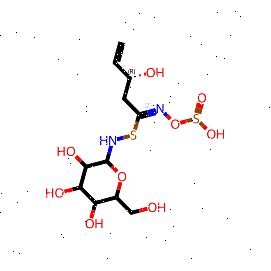 C=C[C@H](O)C/C(=N/OS(=O)O)SNC1OC(CO)C(O)C(O)C1O